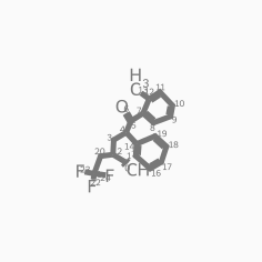 C#CC(CC(C(=O)c1ccccc1C)c1ccccc1)CC(F)(F)F